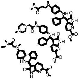 CCN(C)C(=O)CN(C)c1ccc(N/C(=C2\C(=O)Nc3nc(C(=O)OC)ccc32)c2ccccc2)cc1.COC(=O)c1ccc2c(n1)NC(=O)/C2=C(\Nc1ccc(N(C)C(=O)CN2CCN(C)CC2)cc1)c1ccccc1.COC(=O)c1ccc2c(n1)NC(=O)/C2=C(\Nc1ccc(N(C)CCC(=O)N(C)C)cc1)c1ccccc1